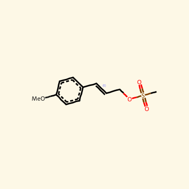 COc1ccc(/C=C/COS(C)(=O)=O)cc1